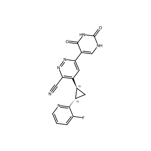 N#Cc1nnc(-c2c[nH]c(=O)[nH]c2=O)cc1[C@H]1C[C@@H]1c1ncccc1F